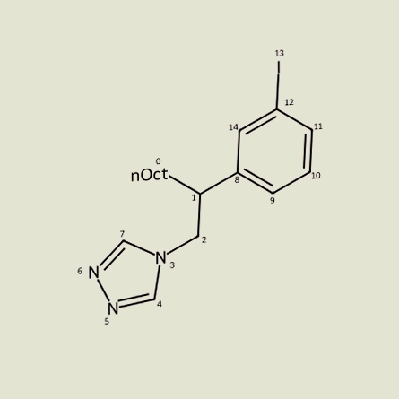 CCCCCCCCC(Cn1cnnc1)c1cccc(I)c1